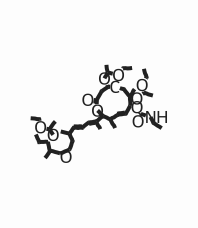 CCNC(=O)OC1/C=C/C(C)C(/C(C)=C/C=C/C(C)CC2OC2C(C)C(CC)OC(C)OCC)OC(=O)CC(OC(C)OCC)CCC1(C)OC(C)OCC